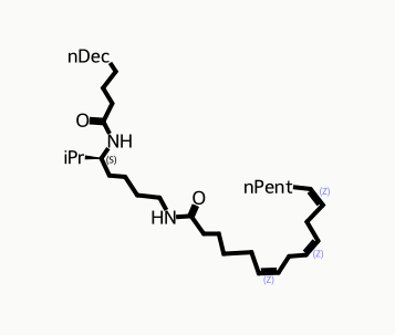 CCCCC/C=C\C/C=C\C/C=C\CCCCC(=O)NCCCC[C@H](NC(=O)CCCCCCCCCCCCC)C(C)C